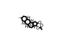 CC(=O)O[C@@H]1C(=O)C[C@@H]2[C@H]3C[C@H]4CC[C@@H](C)C[C@@H]4C[C@@H]3CC[C@@]12C